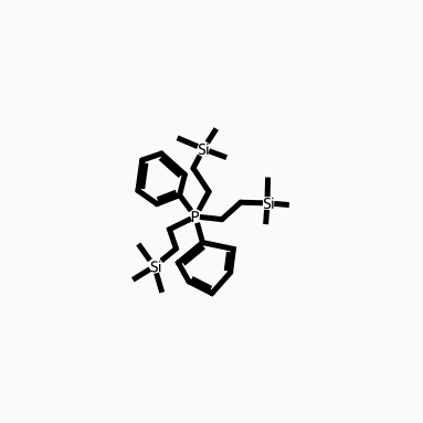 C[Si](C)(C)CCP(CC[Si](C)(C)C)(CC[Si](C)(C)C)(c1ccccc1)c1ccccc1